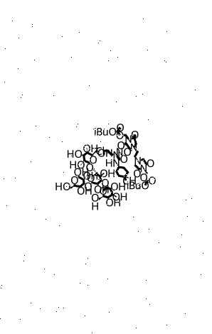 CC(C)COC(=O)OCN1C(=O)CN(CCN2CC(=O)N(COC(=O)OCC(C)C)C(=O)C2)CC1=O.CC1CCC(NC(=O)N(CCCl)N=O)CC1.OC[C@H]1O[C@@H](OC[C@H]2O[C@@H](O[C@@H]3[C@@H](O)[C@H](O)O[C@H](CO)[C@H]3O)[C@H](O)[C@@H](O[C@@H]3O[C@H](CO)[C@@H](O)[C@H](O)[C@H]3O)[C@@H]2O)[C@H](O)[C@@H](O)[C@@H]1O